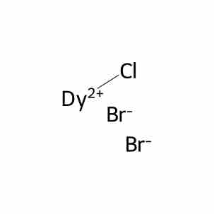 [Br-].[Br-].[Cl][Dy+2]